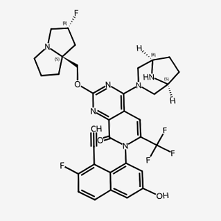 C#Cc1c(F)ccc2cc(O)cc(-n3c(C(F)(F)F)cc4c(N5C[C@H]6CC[C@@H](C5)N6)nc(OC[C@@]56CCCN5C[C@H](F)C6)nc4c3=O)c12